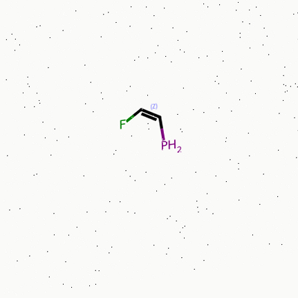 F/C=C\P